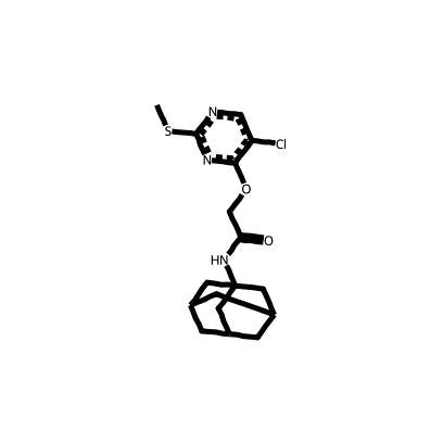 CSc1ncc(Cl)c(OCC(=O)NC23CC4CC(CC(C4)C2)C3)n1